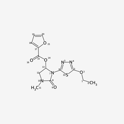 CCOc1nnc(N2C(=O)N(C)CC2OC(=O)c2ccco2)s1